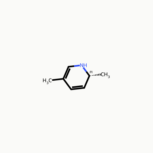 CC1=CN[C@H](C)C=C1